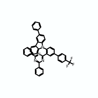 FC(F)(F)c1ccc(-c2ccc(-n3c4ccccc4c4cc(-c5ccccc5)ccc43)c(-c3nc(-c4ccccc4)nc(-c4ccccc4)n3)c2)cc1